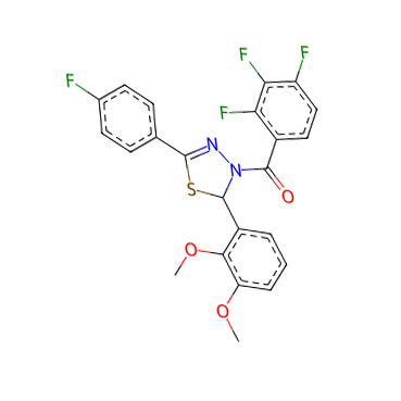 COc1cccc(C2SC(c3ccc(F)cc3)=NN2C(=O)c2ccc(F)c(F)c2F)c1OC